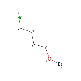 C[CH]OCCCCBr